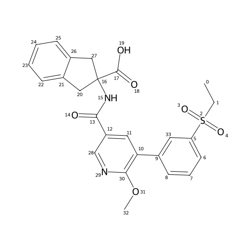 CCS(=O)(=O)c1cccc(-c2cc(C(=O)NC3(C(=O)O)Cc4ccccc4C3)cnc2OC)c1